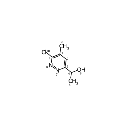 Cc1cc(C(C)O)nnc1Cl